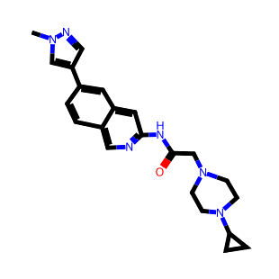 Cn1cc(-c2ccc3cnc(NC(=O)CN4CCN(C5CC5)CC4)cc3c2)cn1